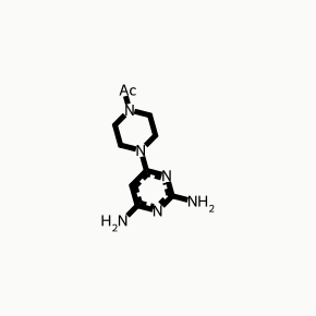 CC(=O)N1CCN(c2cc(N)nc(N)n2)CC1